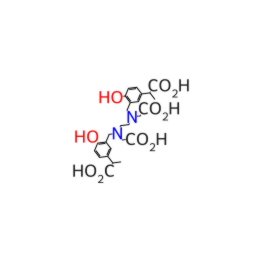 CC(C(=O)O)c1ccc(O)c(CN(CCN(CC(=O)O)Cc2cc(C(C)C(=O)O)ccc2O)CC(=O)O)c1